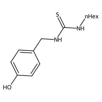 CCCCCCNC(=S)NCc1ccc(O)cc1